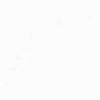 CC(C)CC(NC(=O)C(NC(=O)C(NC(=O)COCCOCCNC(=O)COCCOCCN)C(C)C)C(C)C)C(O)CC(=O)NC(C)C(=O)NC(CC(C)C)[C@@H](O)CC(=O)O